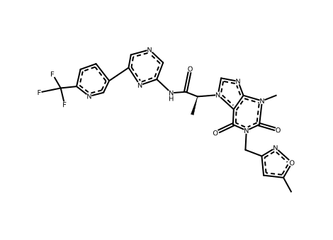 Cc1cc(Cn2c(=O)c3c(ncn3[C@@H](C)C(=O)Nc3cncc(-c4ccc(C(F)(F)F)nc4)n3)n(C)c2=O)no1